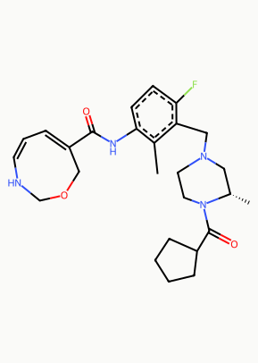 Cc1c(NC(=O)/C2=C/C=C\NCOC2)ccc(F)c1CN1CCN(C(=O)C2CCCC2)[C@@H](C)C1